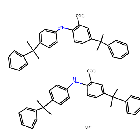 CC(C)(c1ccccc1)c1ccc(Nc2ccc(C(C)(C)c3ccccc3)cc2C(=O)[O-])cc1.CC(C)(c1ccccc1)c1ccc(Nc2ccc(C(C)(C)c3ccccc3)cc2C(=O)[O-])cc1.[Ni+2]